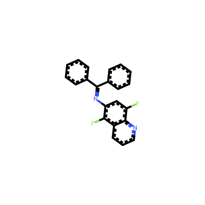 Fc1c(N=C(c2ccccc2)c2ccccc2)cc(F)c2ncccc12